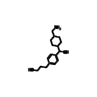 NCC1CCC(C(O)c2ccc(CCCO)cc2)CC1